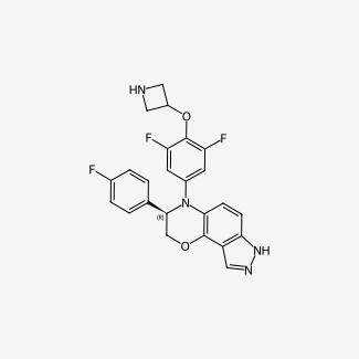 Fc1ccc([C@@H]2COc3c(ccc4[nH]ncc34)N2c2cc(F)c(OC3CNC3)c(F)c2)cc1